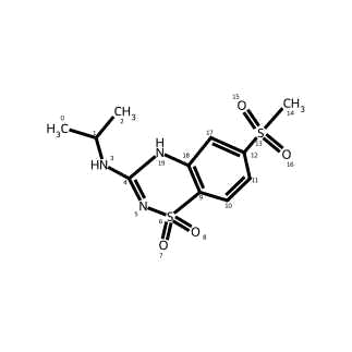 CC(C)NC1=NS(=O)(=O)c2ccc(S(C)(=O)=O)cc2N1